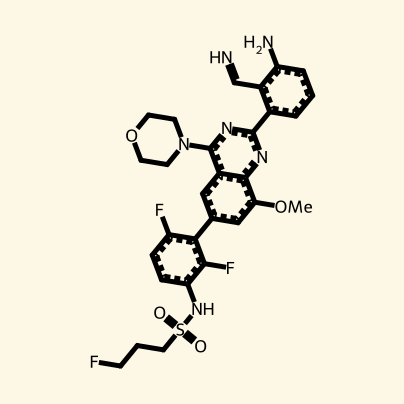 COc1cc(-c2c(F)ccc(NS(=O)(=O)CCCF)c2F)cc2c(N3CCOCC3)nc(-c3cccc(N)c3C=N)nc12